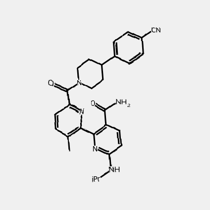 Cc1ccc(C(=O)N2CCC(c3ccc(C#N)cc3)CC2)nc1-c1nc(NC(C)C)ccc1C(N)=O